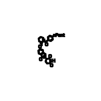 CCCCCc1ccc(C(=O)N2CCCC[C@H]2COc2ccc3c(c2)CN(C2CCC(=O)NC2=O)C3=O)cc1